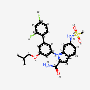 CC(C)COc1cc(-c2ccc(F)cc2F)cc(-n2c(C(N)=O)cc3ccc(NS(C)(=O)=O)cc32)c1